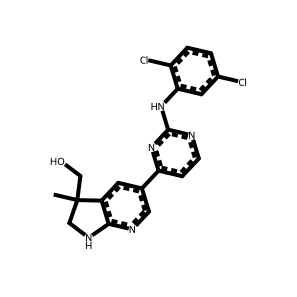 CC1(CO)CNc2ncc(-c3ccnc(Nc4cc(Cl)ccc4Cl)n3)cc21